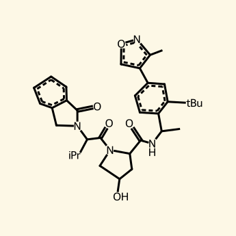 Cc1nocc1-c1ccc(C(C)NC(=O)C2CC(O)CN2C(=O)C(C(C)C)N2Cc3ccccc3C2=O)c(C(C)(C)C)c1